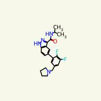 CC(C)NC(=O)c1n[nH]c2ccc(-c3cc(CN4CCCC4)cc(F)c3F)cc12